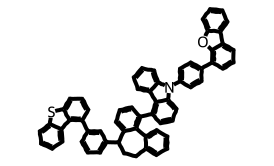 c1cc(-c2cccc3sc4ccccc4c23)cc(C2CCc3ccccc3-c3c(-c4cccc5c4c4ccccc4n5-c4ccc(-c5cccc6c5oc5ccccc56)cc4)cccc32)c1